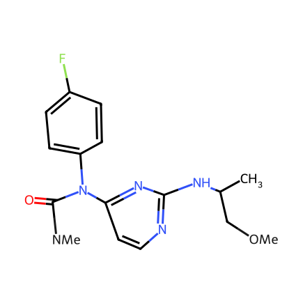 CNC(=O)N(c1ccc(F)cc1)c1ccnc(NC(C)COC)n1